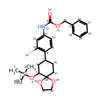 CC(C)(C)[Si](C)(C)OC1CC(c2ccc(NC(=O)OCc3ccccc3)cc2F)CCC12OCCO2